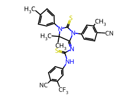 Cc1ccc(N2C(=S)N(c3ccc(C#N)c(C)c3)C(=NC(=S)Nc3ccc(C#N)c(C(F)(F)F)c3)C2(C)C)cc1